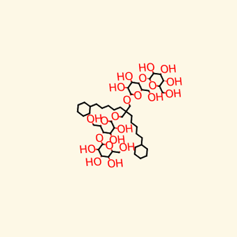 OCC1O[C@@H](OCC(CCCCCC2CCCCC2)(CCCCCC2CCCCC2)CO[C@@H]2OC(CO)[C@@H](O[C@H]3OC(CO)[C@@H](O)[C@H](O)C3O)C(O)[C@@H]2O)[C@@H](O)C(O)[C@@H]1O[C@H]1OC(CO)[C@@H](O)[C@H](O)C1O